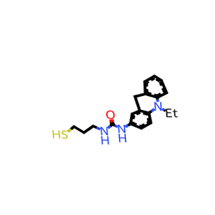 CCN1c2ccccc2Cc2cc(NC(=O)NCCCS)ccc21